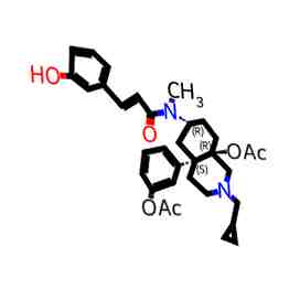 CC(=O)Oc1cccc([C@@]23CCN(CC4CC4)C[C@@]2(OC(C)=O)CC[C@@H](N(C)C(=O)C=Cc2cccc(O)c2)C3)c1